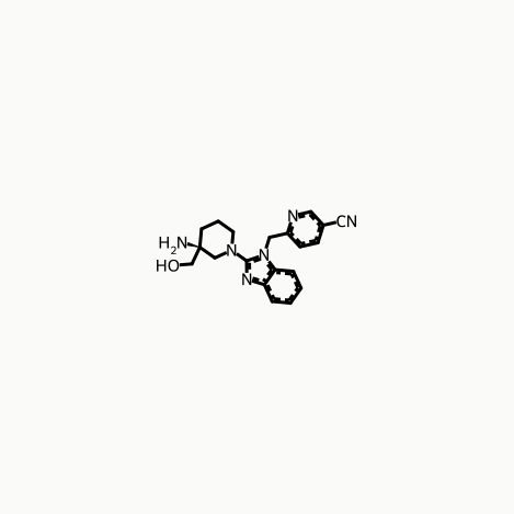 N#Cc1ccc(Cn2c(N3CCC[C@@](N)(CO)C3)nc3ccccc32)nc1